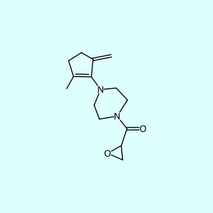 C=C1CCC(C)=C1N1CCN(C(=O)C2CO2)CC1